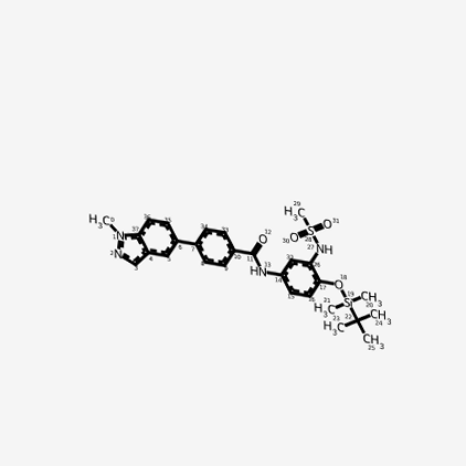 Cn1ncc2cc(-c3ccc(C(=O)Nc4ccc(O[Si](C)(C)C(C)(C)C)c(NS(C)(=O)=O)c4)cc3)ccc21